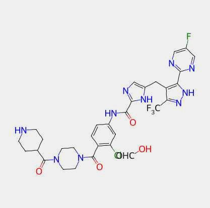 O=C(Nc1ccc(C(=O)N2CCN(C(=O)C3CCNCC3)CC2)c(Cl)c1)c1ncc(Cc2c(C(F)(F)F)n[nH]c2-c2ncc(F)cn2)[nH]1.O=CO